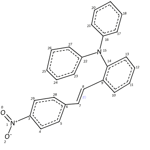 O=[N+]([O-])c1ccc(/C=C/c2ccccc2N(c2ccccc2)c2ccccc2)cc1